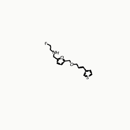 FCCNCc1ccc(COCC=Cc2ccsc2)o1